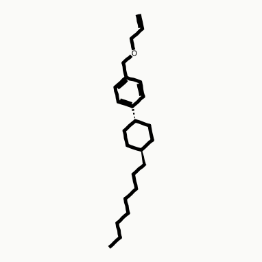 C=CCOCc1ccc([C@H]2CC[C@H](CCCCCCCC)CC2)cc1